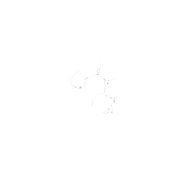 CSC(=N[N+](=O)[O-])N(C)C(=O)c1cccs1